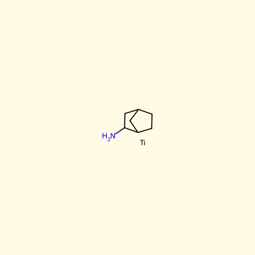 NC1CC2CCC1C2.[Ti]